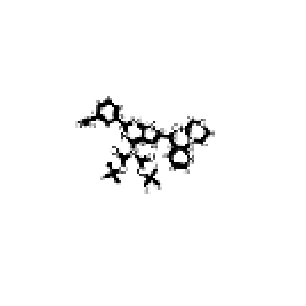 CC(C)(C)OC(=O)N(C(=O)OC(C)(C)C)c1nc(-c2cccc(C#N)c2)nc2sc(C(O)c3cccnc3N3CCOCC3)cc12